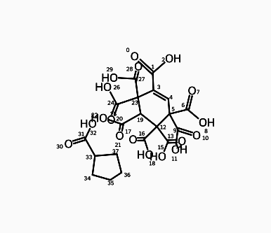 O=C(O)C1=CC(C(=O)O)(C(=O)O)C(C(=O)O)(C(=O)O)C(C(=O)O)C1(C(=O)O)C(=O)O.O=C(O)C1CCCC1